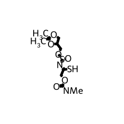 CNC(=O)OCC(S)=NS(=O)OCC1COC(C)(C)O1